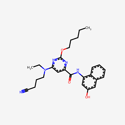 CCCCCOc1nc(C(=O)Nc2cc(O)cc3ccccc23)cc(N(CC)CCCC#N)n1